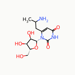 CC(N)Cc1cc(=O)[nH]c(=O)n1[C@@H]1O[C@H](CO)[C@@H](O)[C@H]1O